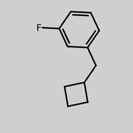 Fc1cccc(CC2CCC2)c1